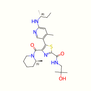 CC[C@@H](C)Nc1cc(C)c(-c2sc(C(=O)NCC(C)(C)O)nc2C(=O)N2CCCC[C@@H]2C)cn1